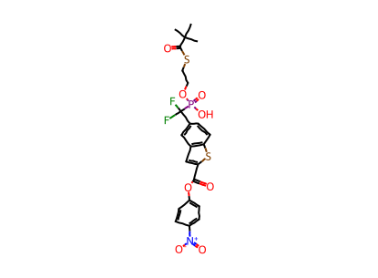 CC(C)(C)C(=O)SCCOP(=O)(O)C(F)(F)c1ccc2sc(C(=O)Oc3ccc([N+](=O)[O-])cc3)cc2c1